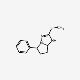 CSC1=NN2C(CCC2c2ccccc2)N1